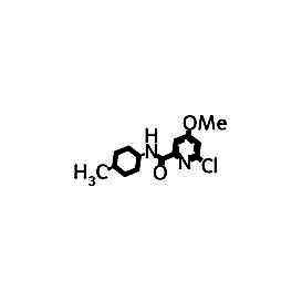 COc1cc(Cl)nc(C(=O)N[C@H]2CC[C@H](C)CC2)c1